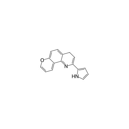 C1=COc2ccc3c(c2=C1)=NC(c1ccc[nH]1)=CC3